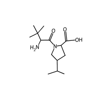 CC(C)C1CC(C(=O)O)N(C(=O)C(N)C(C)(C)C)C1